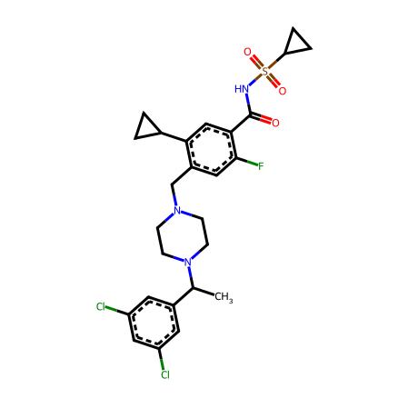 CC(c1cc(Cl)cc(Cl)c1)N1CCN(Cc2cc(F)c(C(=O)NS(=O)(=O)C3CC3)cc2C2CC2)CC1